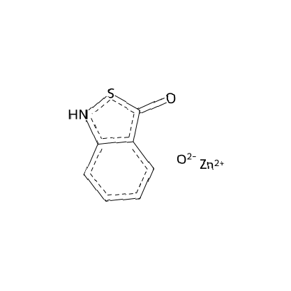 O=c1s[nH]c2ccccc12.[O-2].[Zn+2]